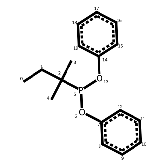 CCC(C)(C)P(Oc1ccccc1)Oc1ccccc1